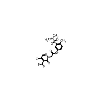 Cc1ccc(NC(=O)Cn2ncc(Cl)c(C(F)F)c2=O)cc1S(=O)(=O)N(C)C